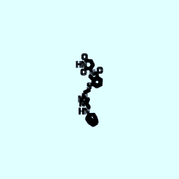 O=C1CCC(N2Cc3c(SCCn4cc(CNC56CC7CC(C5)C(C7)C6)nn4)cccc3C2=O)C(=O)N1